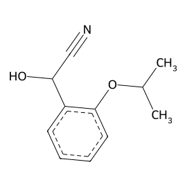 CC(C)Oc1ccccc1C(O)C#N